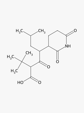 CC(C)CC(C(=O)C(C(=O)O)C(C)(C)C)C1CCC(=O)NC1=O